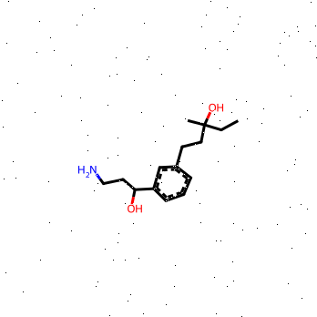 CCC(C)(O)CCc1cccc(C(O)CCN)c1